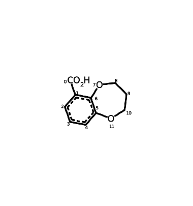 O=C(O)c1cccc2c1OCCCO2